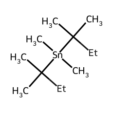 CC[C](C)(C)[Sn]([CH3])([CH3])[C](C)(C)CC